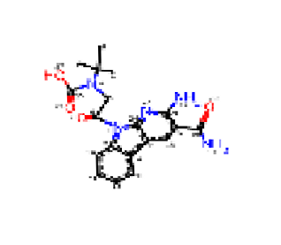 CC(C)(C)N(CC(=O)n1c2ccccc2c2cc(C(N)=O)c(N)nc21)C(=O)O